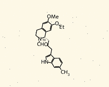 CCOc1cc2c(cc1OC)CCN(C=O)[C@H]2CCCc1c[nH]c2cc(C)ccc12